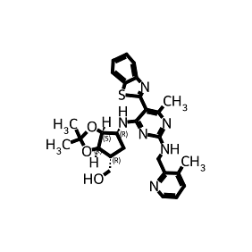 Cc1cccnc1CNc1nc(C)c(-c2nc3ccccc3s2)c(N[C@@H]2C[C@H](CO)[C@H]3OC(C)(C)O[C@H]32)n1